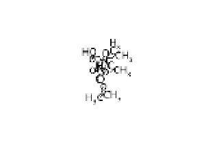 CC(C)COc1ccc(C(=O)N2CCN(C(=O)CC(C)C)C(CC(=O)O)C2)c(OCC(C)C)c1